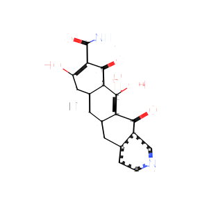 NC(=O)C1=C(O)C[C@@H]2CC3Cc4ccncc4C(=O)C3=C(O)[C@]2(O)C1=O